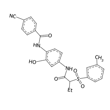 CCC(C(=O)Nc1ccc(NC(=O)c2ccc(C#N)cc2)c(O)c1)S(=O)(=O)c1cccc(C)c1